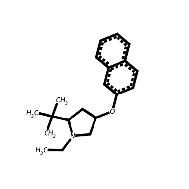 CCN1CC(Oc2ccc3ccccc3c2)CC1C(C)(C)C